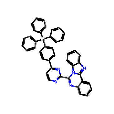 c1ccc([Si](c2ccccc2)(c2ccccc2)c2ccc(-c3ccnc(-c4nc5ccccc5c5nc6ccccc6n45)n3)cc2)cc1